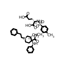 COC(=O)[C@]1(Nc2ccccc2)CCN(CCc2ccccc2)C[C@@H]1C.Cc1ccc(S(=O)(=O)N[C@@H](CCC(=O)O)C(=O)O)cc1